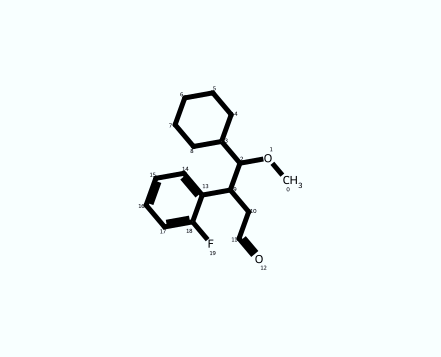 COC(C1CCCCC1)C(CC=O)c1ccccc1F